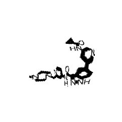 CN1CCN(Cc2cc(NC(=O)c3n[nH]c4ccc(-c5cncc(NC(=O)C6CC6)c5)cc34)ccn2)CC1